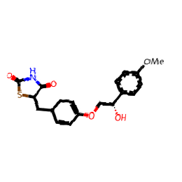 COc1ccc([C@H](O)COC2=CCC(CC3SC(=O)NC3=O)C=C2)cc1